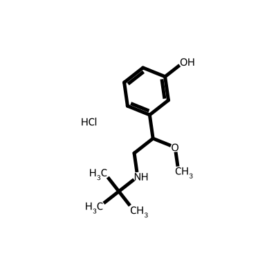 COC(CNC(C)(C)C)c1cccc(O)c1.Cl